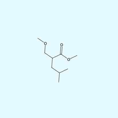 COCC(CC(C)C)C(=O)OC